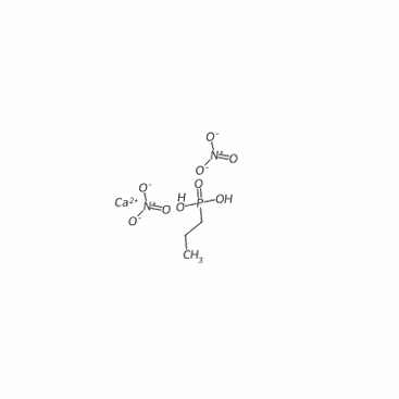 CCCP(=O)(O)O.O=[N+]([O-])[O-].O=[N+]([O-])[O-].[Ca+2]